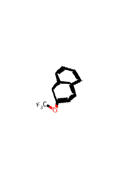 FC(F)(F)Oc1ccc2[c]cccc2c1